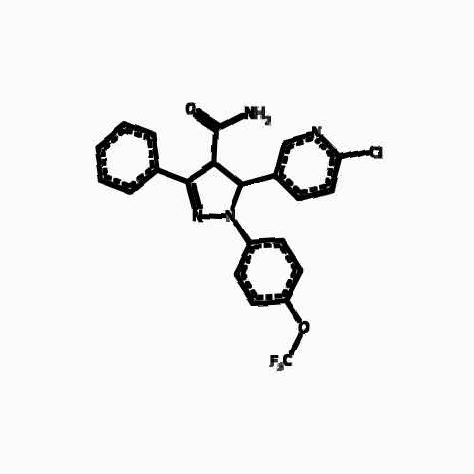 NC(=O)C1C(c2ccccc2)=NN(c2ccc(OC(F)(F)F)cc2)C1c1ccc(Cl)nc1